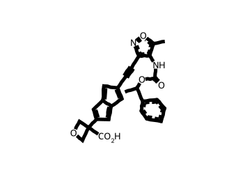 Cc1onc(C#CC2=CC3=CC(C4(C(=O)O)COC4)=CC3=C2)c1NC(=O)OC(C)c1ccccc1